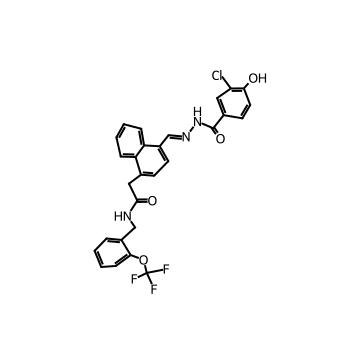 O=C(Cc1ccc(/C=N/NC(=O)c2ccc(O)c(Cl)c2)c2ccccc12)NCc1ccccc1OC(F)(F)F